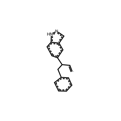 [CH]=CC(Cc1ccccc1)c1ccc2[nH]ncc2c1